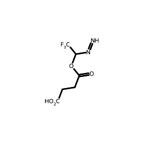 N=NC(OC(=O)CCC(=O)O)C(F)(F)F